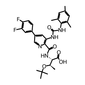 Cc1cc(C)c(NC(=O)Nc2cc(-c3ccc(F)c(F)c3)cnc2C(=O)N[C@H](C(=O)O)[C@@H](C)OC(C)(C)C)c(C)c1